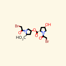 O=C(O)[C@@H]1C[C@H](OC(=O)[C@@H]2C[C@H](O)CN2C(=O)CBr)CN1C(=O)CBr